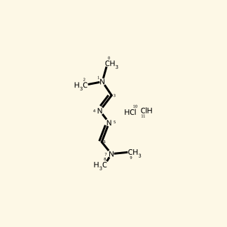 CN(C)C=N/N=C/N(C)C.Cl.Cl